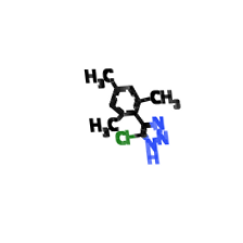 Cc1cc(C)c(-c2nn[nH]c2Cl)c(C)c1